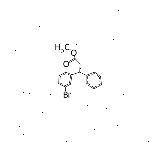 COC(=O)CC(c1ccccc1)c1cccc(Br)c1